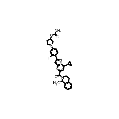 C[C@@H]1c2ccccc2CCN1C(=O)c1cc(C2CC2)n2nc(-c3ccc(N4CCC(OC(N)=O)C4)cc3F)cc2n1